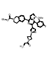 C=CC(=O)N1CC(n2cc(-c3nc(-c4ccc5c(c4)CCN(C(=O)OC(C)(C)C)C5)c4ccnn4c3-c3ccc(F)cc3OC)cn2)C1